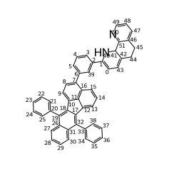 C1=C(c2cccc(-c3ccc4c5c(cccc35)-c3c-4c(-c4ccccc4)c4ccccc4c3-c3ccccc3)c2)NC2C(=C1)CCc1cccnc12